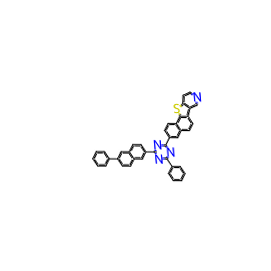 c1ccc(-c2ccc3cc(-c4nc(-c5ccccc5)nc(-c5ccc6c(ccc7c8cnccc8sc67)c5)n4)ccc3c2)cc1